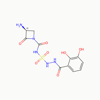 N[C@H]1CN(C(=O)NS(=O)(=O)NNC(=O)c2cccc(O)c2O)C1=O